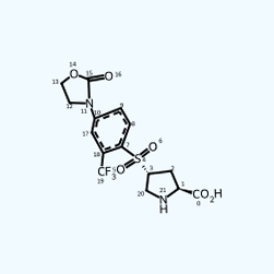 O=C(O)[C@@H]1C[C@@H](S(=O)(=O)c2ccc(N3CCOC3=O)cc2C(F)(F)F)CN1